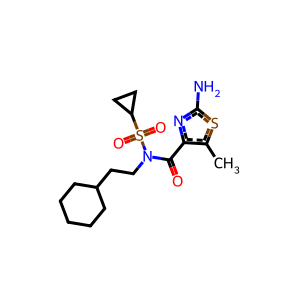 Cc1sc(N)nc1C(=O)N(CCC1CCCCC1)S(=O)(=O)C1CC1